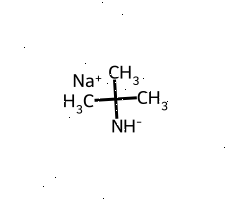 CC(C)(C)[NH-].[Na+]